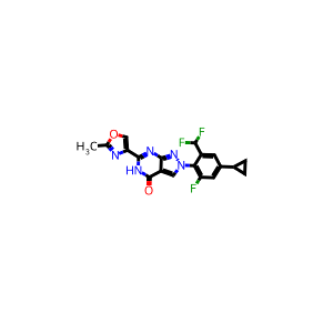 Cc1nc(-c2nc3nn(-c4c(F)cc(C5CC5)cc4C(F)F)cc3c(=O)[nH]2)co1